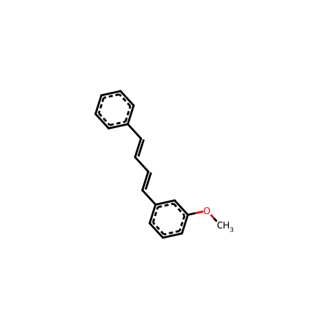 COc1cccc(C=CC=Cc2ccccc2)c1